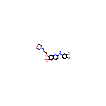 COc1cc2ccc(Nc3ccc(F)c(Cl)c3)nc2cc1OCCCN1CCOCC1